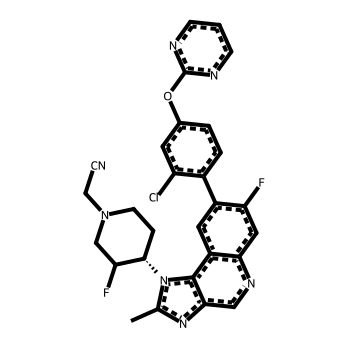 Cc1nc2cnc3cc(F)c(-c4ccc(Oc5ncccn5)cc4Cl)cc3c2n1[C@H]1CCN(CC#N)CC1F